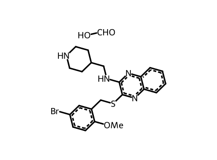 COc1ccc(Br)cc1CSc1nc2ccccc2nc1NCC1CCNCC1.O=CO